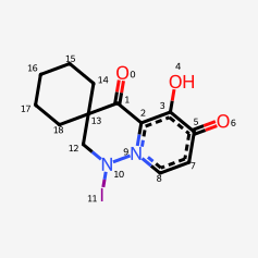 O=C1c2c(O)c(=O)ccn2N(I)CC12CCCCC2